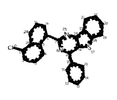 Clc1cccc2c(-c3nc(-c4ccccc4)c4sc5ccccc5c4n3)cccc12